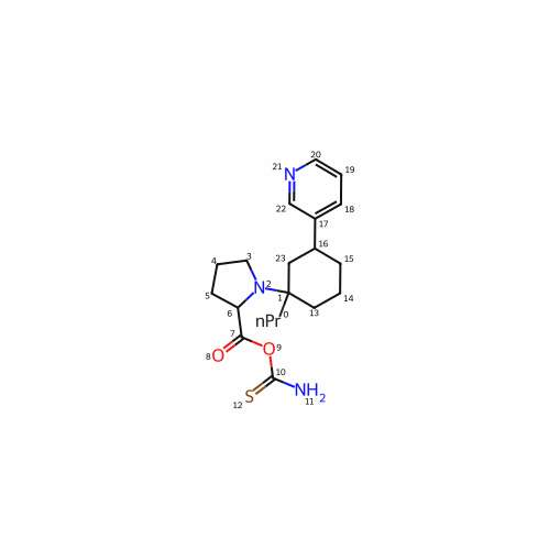 CCCC1(N2CCCC2C(=O)OC(N)=S)CCCC(c2cccnc2)C1